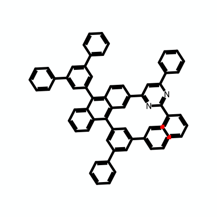 c1ccc(-c2cc(-c3ccccc3)cc(-c3c4ccccc4c(-c4cc(-c5ccccc5)cc(-c5ccccc5)c4)c4cc(-c5cc(-c6ccccc6)nc(-c6ccccc6)n5)ccc34)c2)cc1